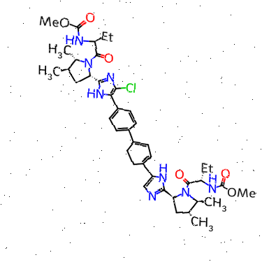 CC[C@H](NC(=O)OC)C(=O)N1[C@H](c2ncc(C3=CC=C(c4ccc(-c5[nH]c([C@@H]6C[C@@H](C)[C@H](C)N6C(=O)[C@H](CC)NC(=O)OC)nc5Cl)cc4)CC3)[nH]2)C[C@@H](C)[C@@H]1C